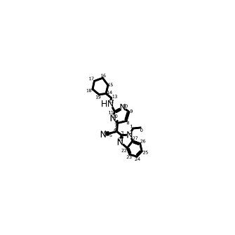 CCn1c(C(C#N)c2ccnc(NCC3CCCCC3)n2)nc2ccccc21